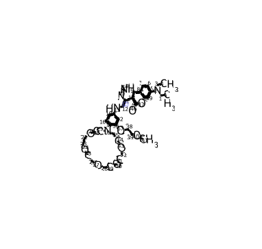 CCN(CC)c1ccc2cc(/C(=C/Nc3ccc(N4CCOCCOCCOCCOCCOCC4)c(OCCOC)c3)N=N)c(=O)oc2c1